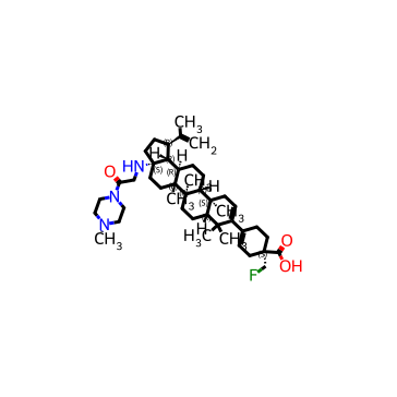 C=C(C)[C@@H]1CC[C@]2(NCC(=O)N3CCN(C)CC3)CC[C@]3(C)[C@H](CC[C@@H]4[C@@]5(C)CC=C(C6=CC[C@](CF)(C(=O)O)CC6)C(C)(C)[C@@H]5CC[C@]43C)[C@@H]12